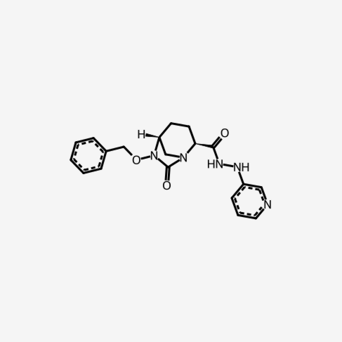 O=C(NNc1cccnc1)[C@@H]1CC[C@@H]2CN1C(=O)N2OCc1ccccc1